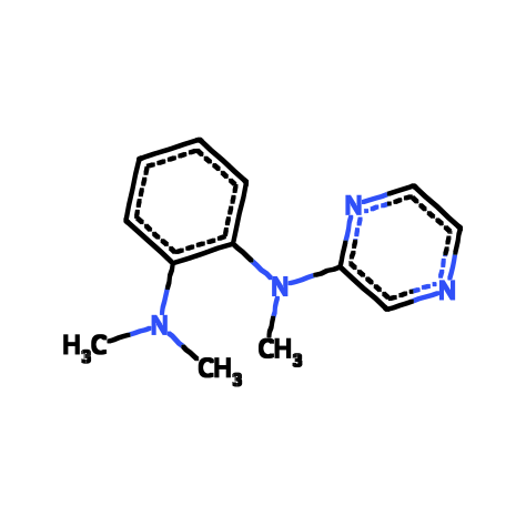 CN(C)c1ccccc1N(C)c1cnccn1